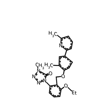 CCOc1cccc(-n2nnn(C)c2=O)c1COc1ccc(-c2cccc(C)n2)cc1C